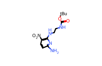 CC(C)(C)OC(=O)NCCNc1nc(N)ccc1[N+](=O)[O-]